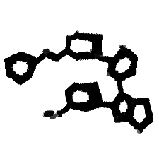 O=[N+]([O-])c1cccc(-c2nc3n(c2-c2ccnc(N4CCOC(COc5ccccc5)C4)n2)CCS3)c1